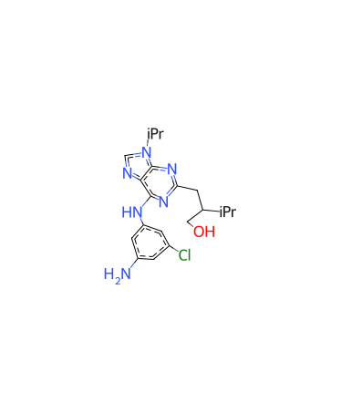 CC(C)C(CO)Cc1nc(Nc2cc(N)cc(Cl)c2)c2ncn(C(C)C)c2n1